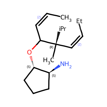 C/C=C\C(O[C@H]1CCC[C@@H]1N)[C@@](C)(/C=C\CC)C(C)C